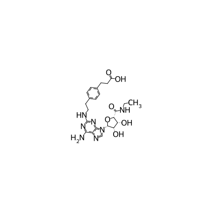 CCNC(=O)[C@H]1O[C@@H](n2cnc3c(N)nc(NCCc4ccc(CCC(=O)O)cc4)nc32)[C@@H](O)[C@H]1O